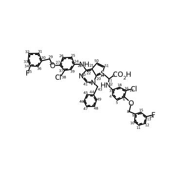 O=C(O)C(Nc1ccc(OCc2cccc(F)c2)c(Cl)c1)S1=C2C(=C(Nc3ccc(OCc4cccc(F)c4)c(Cl)c3)N=CN2Cc2ccccc2)C=C1